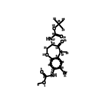 COC(=O)Nc1cc2c(cc1Br)N(C)C(=O)[C@@H](NC(=O)OC(C)(C)C)CO2